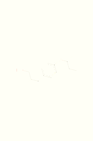 CCC(C)Oc1ccc(CC(C)CO)cc1